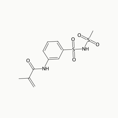 C=C(C)C(=O)Nc1cccc(S(=O)(=O)NS(C)(=O)=O)c1